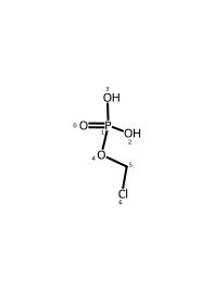 O=P(O)(O)OCCl